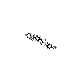 O=C(NCc1ccc(O)nc1)Nc1ccc(S(=O)(=O)N2CCCCC2)cc1